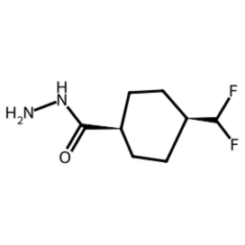 NNC(=O)[C@H]1CC[C@@H](C(F)F)CC1